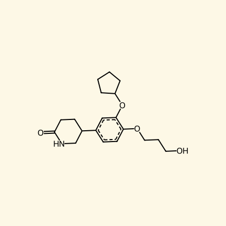 O=C1CCC(c2ccc(OCCCO)c(OC3CCCC3)c2)CN1